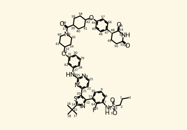 CCCS(=O)(=O)Nc1cccc(-c2nc(C(C)(C)C)sc2-c2ccnc(Nc3cccc(OC4CCN(C(=O)C5CCC(Oc6ccc([C@@H]7CCC(=O)NC7=O)cc6)CC5)CC4)c3)n2)c1F